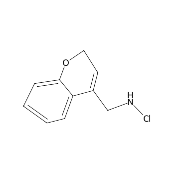 ClNCC1=CCOc2ccccc21